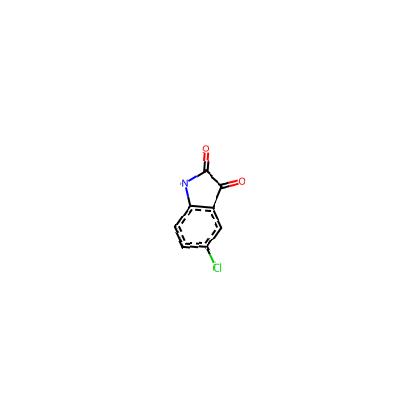 O=C1[N]c2ccc(Cl)cc2C1=O